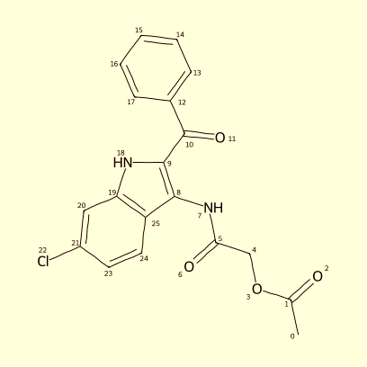 CC(=O)OCC(=O)Nc1c(C(=O)c2ccccc2)[nH]c2cc(Cl)ccc12